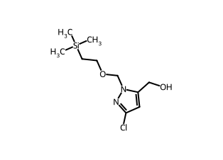 C[Si](C)(C)CCOCn1nc(Cl)cc1CO